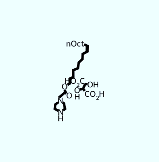 CCCCCCCC/C=C\CCCCCCCCOC(=O)CN1CCNCC1.O=C(O)C(O)C(O)C(=O)O